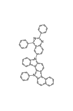 c1ccc(-c2nc(-c3ccccc3)c3cc(-n4c5ccccc5c5c4ccc4c6c7ccccc7ccc6n(-c6ccccc6)c45)ccc3n2)cc1